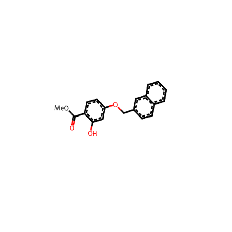 COC(=O)c1ccc(OCc2ccc3ccccc3c2)cc1O